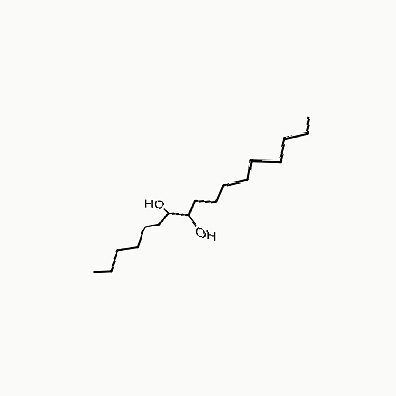 CCCCCCCCCC(O)C(O)CCCCCC